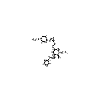 COc1ccc([C@@H]2CC2COc2cc(NCc3cncs3)c(=O)n(C)n2)nc1